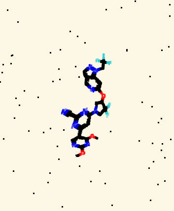 COc1ncc(-c2cc(N3CC(Oc4cc5c(cn4)cnn5CC(F)(F)F)C(F)(F)C3)nc(C#N)n2)c(OC)n1